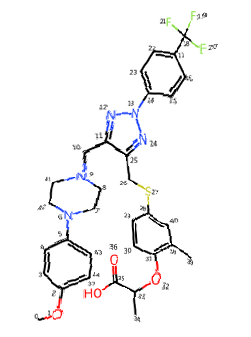 COc1ccc(N2CCN(Cc3nn(-c4ccc(C(F)(F)F)cc4)nc3CSc3ccc(OC(C)C(=O)O)c(C)c3)CC2)cc1